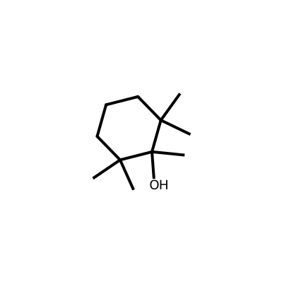 CC1(C)CCCC(C)(C)C1(C)O